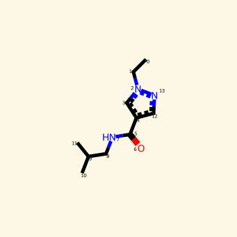 CCn1cc(C(=O)NCC(C)C)cn1